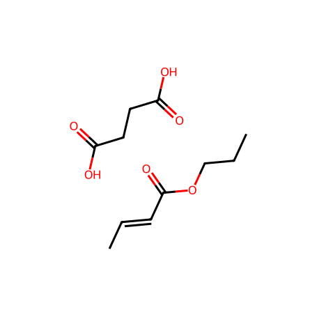 CC=CC(=O)OCCC.O=C(O)CCC(=O)O